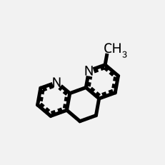 Cc1ccc2c(n1)-c1ncccc1CC2